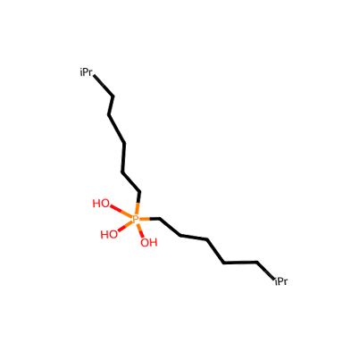 CC(C)CCCCCP(O)(O)(O)CCCCCC(C)C